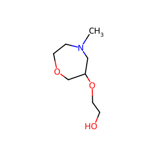 CN1CCOCC(OCCO)C1